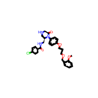 COc1ccccc1COCCCOc1ccc(N2C(=O)CNC[C@@H]2CNC(=O)c2ccc(Cl)cc2)cc1